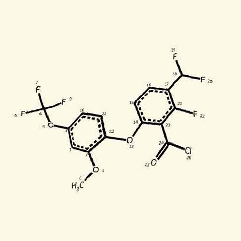 COc1cc(OC(F)(F)F)ccc1Oc1ccc(C(F)F)c(F)c1C(=O)Cl